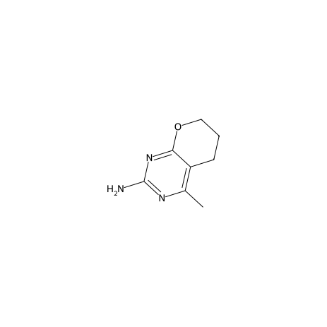 Cc1nc(N)nc2c1CCCO2